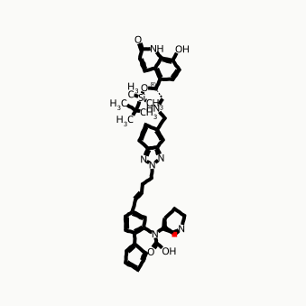 CC(C)(C)[Si](C)(C)O[C@@H](CNCc1ccc2nn(CCC=Cc3ccc(-c4ccccc4)c(N(C(=O)O)C4CN5CCC4CC5)c3)nc2c1)c1ccc(O)c2[nH]c(=O)ccc12